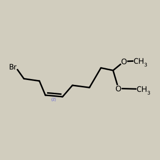 COC(CCC/C=C\CCBr)OC